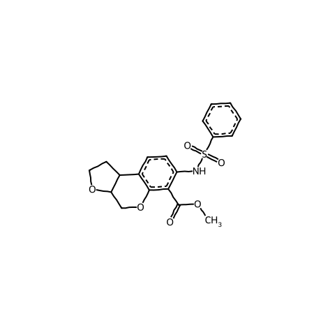 COC(=O)c1c(NS(=O)(=O)c2ccccc2)ccc2c1OCC1OCCC21